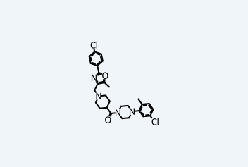 Cc1ccc(Cl)cc1N1CCN(C(=O)C2CCN(Cc3nc(-c4ccc(Cl)cc4)oc3C)CC2)CC1